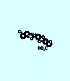 O=C(Nc1ccc2c(Cl)cccc2n1)c1ccc(Oc2cc3c(cc2Cl)C(C(=O)O)CCO3)cc1